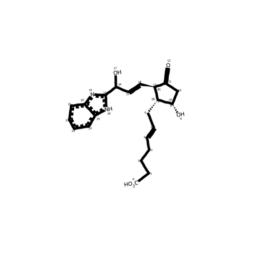 O=C(O)CCCC=CC[C@H]1[C@@H](O)CC(=O)[C@@H]1C=CC(O)c1nc2ccccc2[nH]1